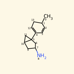 CC1C=CC(C23CC(N)CC2C3)=CC1